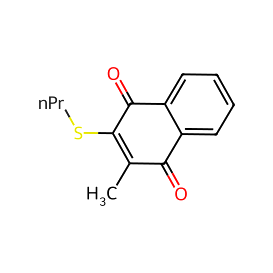 CCCSC1=C(C)C(=O)c2ccccc2C1=O